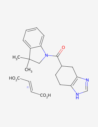 CC1(C)CN(C(=O)C2CCc3[nH]cnc3C2)c2ccccc21.O=C(O)/C=C/C(=O)O